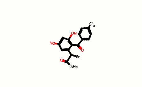 CCC(C(=O)OC)c1cc(O)cc(O)c1C(=O)c1ccc(C(F)(F)F)cc1